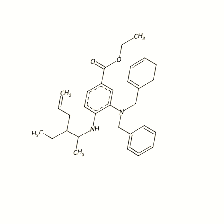 C=CCC(CC)C(C)Nc1ccc(C(=O)OCC)cc1N(CC1=C=C=CC=C1)CC1=CC=CCC1